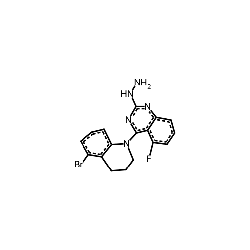 NNc1nc(N2CCCc3c(Br)cccc32)c2c(F)cccc2n1